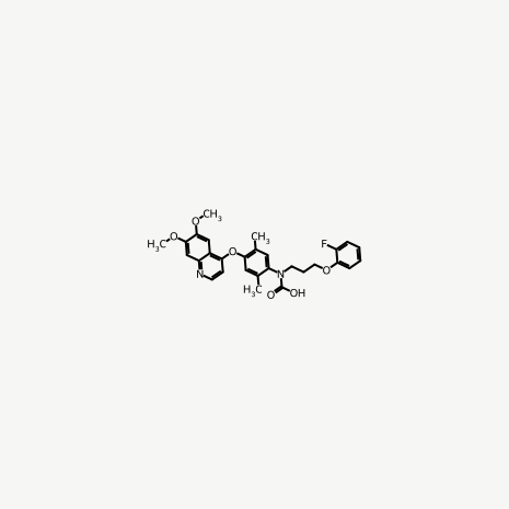 COc1cc2nccc(Oc3cc(C)c(N(CCCOc4ccccc4F)C(=O)O)cc3C)c2cc1OC